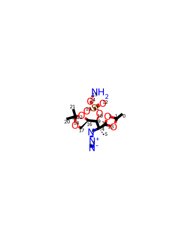 CC1OC([C@@](C)(N=[N+]=[N-])[C@H](OS(=O)(=O)ON)[C@H]2COC(C)(C)O2)O1